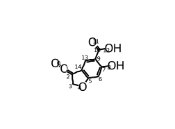 O=C=C1COc2cc(O)c(C(=O)O)cc21